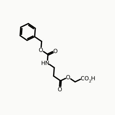 O=C(O)COC(=O)CCNC(=O)OCc1ccccc1